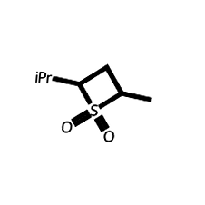 CC(C)C1CC(C)S1(=O)=O